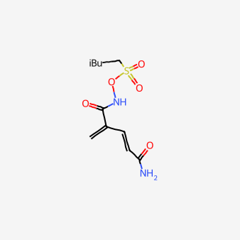 C=C(C=CC(N)=O)C(=O)NOS(=O)(=O)CC(C)CC